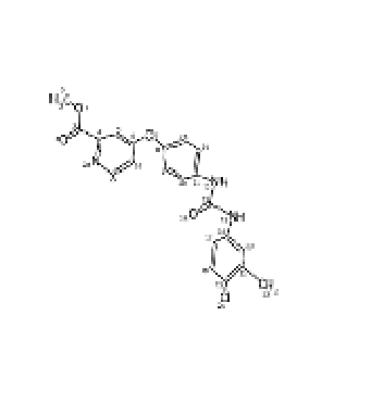 COC(=O)c1cc(Oc2ccc(NC(=O)Nc3ccc(Cl)c(C)c3)cc2)ccn1